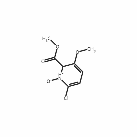 COC(=O)C1C(OC)=CC=C(Cl)[NH+]1[O-]